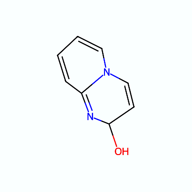 OC1C=CN2C=CC=CC2=N1